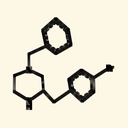 Brc1ccc(CC2CN(Cc3ccccc3)CCN2)cc1